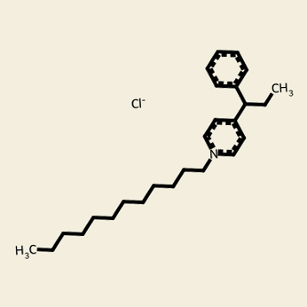 CCCCCCCCCCCC[n+]1ccc(C(CC)c2ccccc2)cc1.[Cl-]